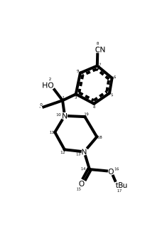 [CH2]C(O)(c1cccc(C#N)c1)N1CCN(C(=O)OC(C)(C)C)CC1